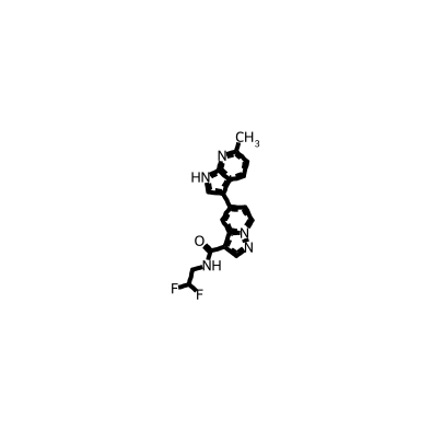 Cc1ccc2c(-c3ccn4ncc(C(=O)NCC(F)F)c4c3)c[nH]c2n1